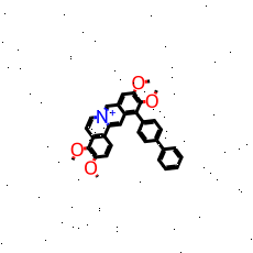 COc1cc2c[n+]3ccc4c(OC)c(OC)ccc4c3cc2c(-c2ccc(-c3ccccc3)cc2)c1OC